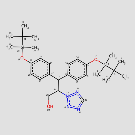 CC(C)(C)[Si](C)(C)Oc1ccc(C(c2ccc(O[Si](C)(C)C(C)(C)C)cc2)C(CO)n2ncnn2)cc1